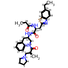 C=C(CN1CCCC1)C(=O)NCC(Cc1ccccc1)NC(=O)[C@H](Cc1nc2ccc(CC)cc2s1)NC(=O)CC